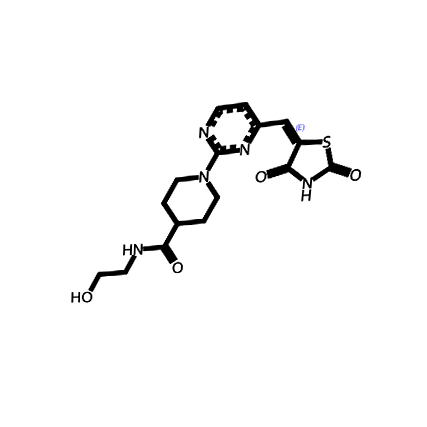 O=C1NC(=O)/C(=C\c2ccnc(N3CCC(C(=O)NCCO)CC3)n2)S1